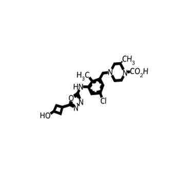 Cc1c(CN2CCN(C(=O)O)[C@@H](C)C2)cc(Cl)cc1Nc1nnc(C2CC(O)C2)o1